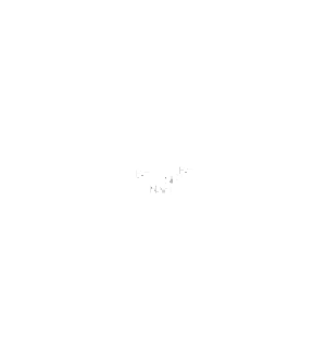 [Br-].[Br-].[NaH].[Ni+2]